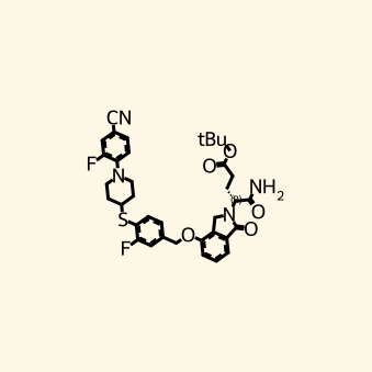 CC(C)(C)OC(=O)CC[C@H](C(N)=O)N1Cc2c(OCc3ccc(SC4CCN(c5ccc(C#N)cc5F)CC4)c(F)c3)cccc2C1=O